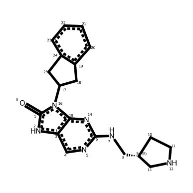 O=c1[nH]c2cnc(NC[C@@H]3CCNC3)nc2n1C1Cc2ccccc2C1